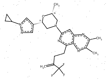 C=C(CCc1nc(N2C[C@@H](C)O[C@@H](c3cnn(C4CC4)c3)C2)cc2nc(C)c(C)nc12)C(F)(F)F